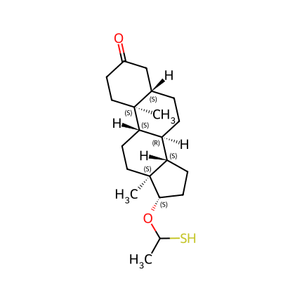 CC(S)O[C@H]1CC[C@H]2[C@@H]3CC[C@H]4CC(=O)CC[C@]4(C)[C@H]3CC[C@]12C